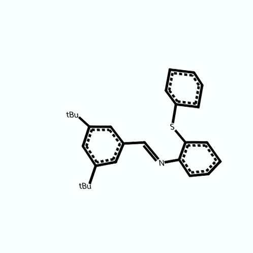 CC(C)(C)c1cc(/C=N/c2ccccc2Sc2ccccc2)cc(C(C)(C)C)c1